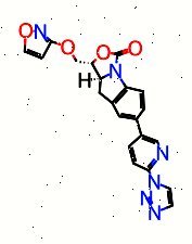 O=C1O[C@@H](COc2ccon2)[C@@H]2Cc3cc(-c4ccc(-n5ccnn5)nc4)ccc3N12